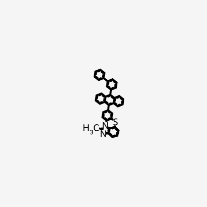 Cc1nc2cccc3c2n1-c1ccc(-c2c4ccccc4c(-c4cccc(-c5ccccc5)c4)c4ccccc24)cc1S3